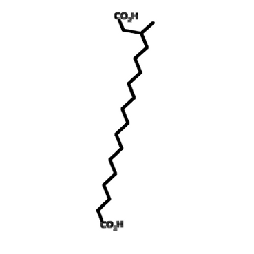 CC(CCCCCCCCCCCCCCC(=O)O)CC(=O)O